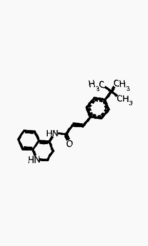 CC(C)(C)c1ccc(C=CC(=O)NC2=C3C=CCC=C3NCC2)cc1